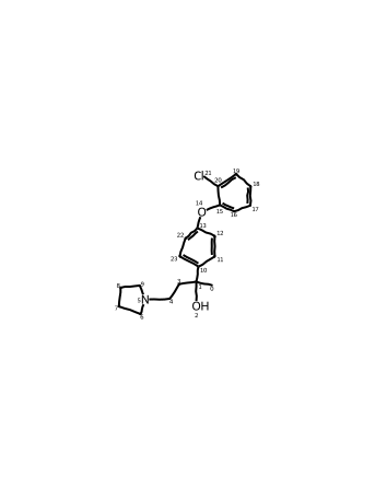 CC(O)(CCN1CCCC1)c1ccc(Oc2ccccc2Cl)cc1